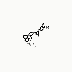 N#Cc1ccc(Cn2cncc2CN2CCN(c3cccc4ccc(OC(=O)C(F)(F)F)cc34)C(=O)C2)cc1F